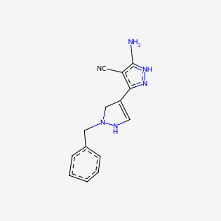 N#Cc1c(C2=CNN(Cc3ccccc3)C2)n[nH]c1N